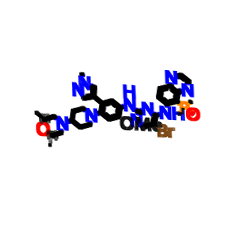 COc1cc(N2CCC(N3C[C@H](C)O[C@@H](C)C3)CC2)c(-c2cnn(C)c2)cc1Nc1ncc(Br)c(Nc2ccc3nccnc3c2P(C)(C)=O)n1